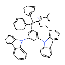 C=C(C)/C=C(\CCC)[Si](c1ccccc1)(c1ccccc1)c1cc(-n2c3ccccc3c3ccccc32)cc(-n2c3ccccc3c3ccccc32)c1